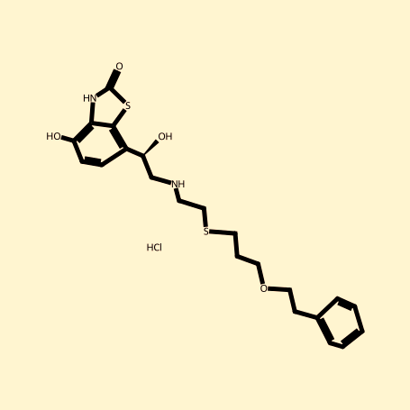 Cl.O=c1[nH]c2c(O)ccc([C@@H](O)CNCCSCCCOCCc3ccccc3)c2s1